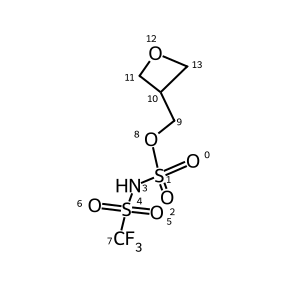 O=S(=O)(NS(=O)(=O)C(F)(F)F)OCC1COC1